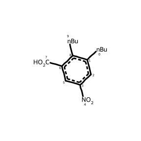 CCCCc1cc([N+](=O)[O-])cc(C(=O)O)c1CCCC